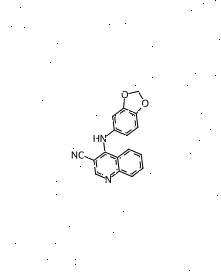 N#Cc1cnc2ccccc2c1Nc1ccc2c(c1)OCO2